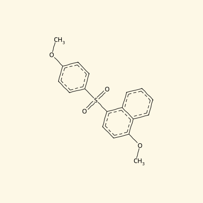 COc1ccc(S(=O)(=O)c2ccc(OC)c3ccccc23)cc1